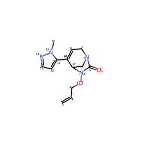 C=CCON1C(=O)N2CC=C(c3ccnn3C)C1C2